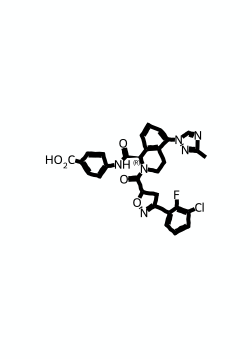 Cc1ncn(-c2cccc3c2CCN(C(=O)C2CC(c4cccc(Cl)c4F)=NO2)[C@H]3C(=O)Nc2ccc(C(=O)O)cc2)n1